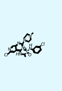 CC(Nc1nc(N2CCN(C)CC2)nc2cnc(Cl)cc12)S(=O)(=O)Nc1cccc(Cl)c1